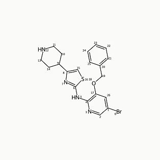 Brc1cnc(Nc2nc(C3CCNCC3)cs2)c(OCc2ccccc2)c1